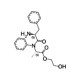 C[C@@H](C(=O)OCCO)N(C(=O)[C@@H](N)Cc1ccccc1)c1ccccc1